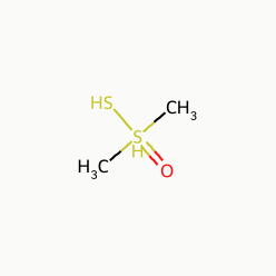 C[SH](C)(=O)S